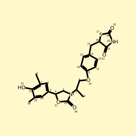 Cc1cc(C2CN(C(C)COc3ccc(CC4SC(=O)NC4=O)cc3)C(=O)O2)cc(C)c1O